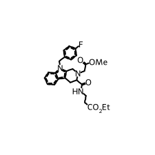 CCOC(=O)CCNC(=O)C1Cc2c(n(Cc3ccc(F)cc3)c3ccccc23)CN1CC(=O)OC